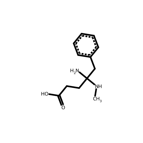 CNC(N)(CCC(=O)O)Cc1ccccc1